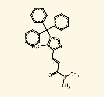 Cc1c(/C=C/C(=O)N(C)C)ncn1C(c1ccccc1)(c1ccccc1)c1ccccc1